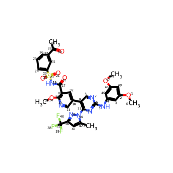 COc1cc(Nc2ncc(-c3cnc(OC)c(C(=O)NS(=O)(=O)c4cccc(C(C)=O)c4)c3)c(-n3nc(C(F)(F)F)cc3C)n2)cc(OC)c1